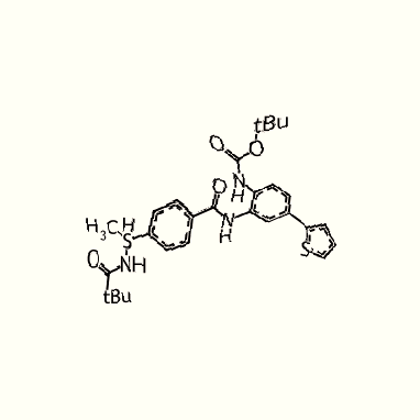 C[SH](NC(=O)C(C)(C)C)c1ccc(C(=O)Nc2cc(-c3cccs3)ccc2NC(=O)OC(C)(C)C)cc1